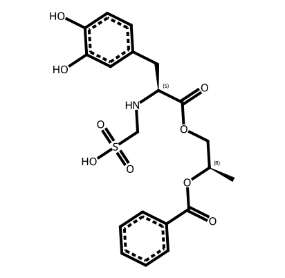 C[C@H](COC(=O)[C@H](Cc1ccc(O)c(O)c1)NCS(=O)(=O)O)OC(=O)c1ccccc1